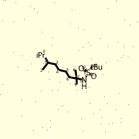 CC(C)C(C)CCCCC(C)(C)NS(=O)(=O)C(C)(C)C